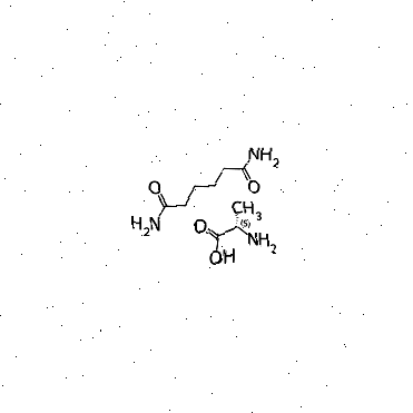 C[C@H](N)C(=O)O.NC(=O)CCCCC(N)=O